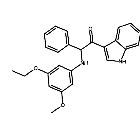 CCOc1cc(NC(C(=O)c2c[nH]c3ccccc23)c2ccccc2)cc(OC)c1